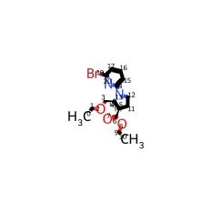 CCOC[C@@H]1[C@H](C(=O)OCC)CCN1c1cccc(Br)n1